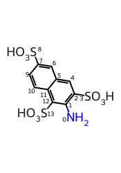 Nc1c(S(=O)(=O)O)cc2cc(S(=O)(=O)O)ccc2c1S(=O)(=O)O